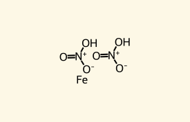 O=[N+]([O-])O.O=[N+]([O-])O.[Fe]